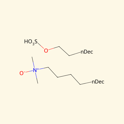 CCCCCCCCCCCCCC[N+](C)(C)[O-].CCCCCCCCCCCCOS(=O)(=O)O